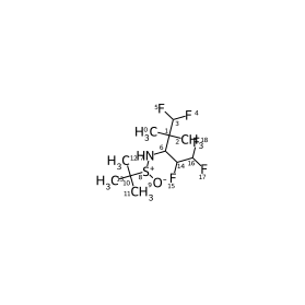 CC(C)(C(F)F)C(N[S+]([O-])C(C)(C)C)C(F)C(F)F